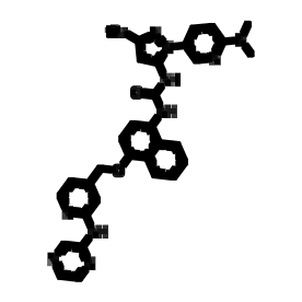 CN(C)c1ccc(-n2nc(C(C)(C)C)cc2NC(=O)Nc2ccc(OCc3ccnc(Nc4cnccn4)c3)c3ccccc23)cn1